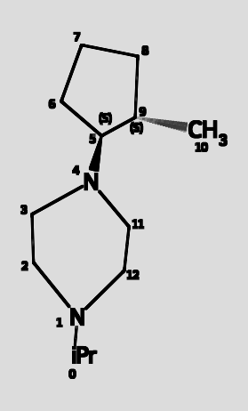 CC(C)N1CCN([C@H]2CCC[C@@H]2C)CC1